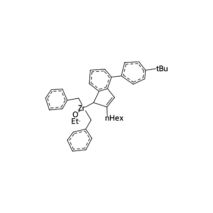 C[CH][O][Zr]([CH2]c1ccccc1)([CH2]c1ccccc1)[CH]1C(CCCCCC)=Cc2c(-c3ccc(C(C)(C)C)cc3)cccc21